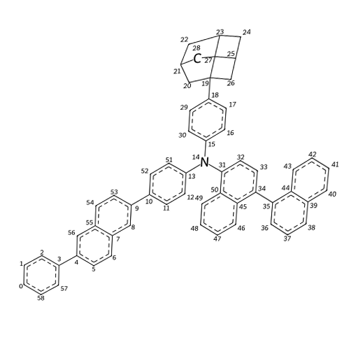 c1ccc(-c2ccc3cc(-c4ccc(N(c5ccc(C67CC8CC9CC(C6)C97C8)cc5)c5ccc(-c6cccc7ccccc67)c6ccccc56)cc4)ccc3c2)cc1